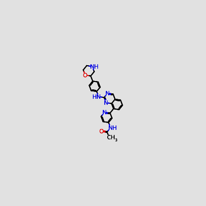 CC(=O)Nc1ccnc(-c2cccc3cnc(Nc4ccc(C5CNCCO5)cc4)nc23)c1